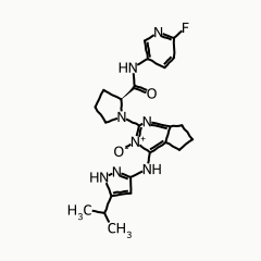 CC(C)c1cc(Nc2c3c(nc(N4CCC[C@H]4C(=O)Nc4ccc(F)nc4)[n+]2[O-])CCC3)n[nH]1